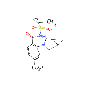 CC1(S(=O)(=O)NC(=O)c2ccc(C(=O)O)cc2N2CC3CC3C2)CC1